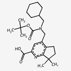 CC(C)(C)OC(=O)N(Cc1cc(C(=O)O)nc2c1CCC2(C)C)CC1CCCCC1